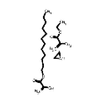 C1CN1.C=C(C)C(=O)OCC.C=C(C)C(=O)OCCCCCCCCCCCC